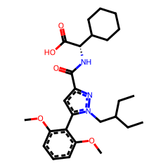 CCC(CC)Cn1nc(C(=O)N[C@H](C(=O)O)C2CCCCC2)cc1-c1c(OC)cccc1OC